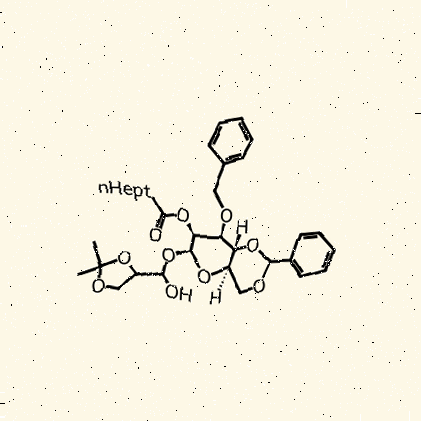 CCCCCCCC(=O)O[C@@H]1[C@H](OC(O)C2COC(C)(C)O2)O[C@@H]2COC(c3ccccc3)O[C@H]2[C@@H]1OCc1ccccc1